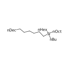 CCCCCCCCCCCCCCCC[Si](CCCC)(CCCCCC)CCCCCCCC